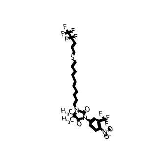 CC1(C)C(=O)N(c2ccc([N+](=O)[O-])c(C(F)(F)F)c2)C(=O)N1CCCCCCCCCCSCCCC(F)(F)C(F)(F)F